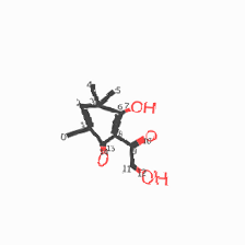 CC1=CC(C)(C)C(O)=C(C(=O)CO)C1=O